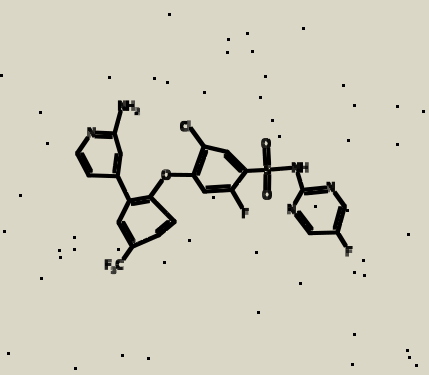 Nc1cc(-c2cc(C(F)(F)F)ccc2Oc2cc(F)c(S(=O)(=O)Nc3ncc(F)cn3)cc2Cl)ccn1